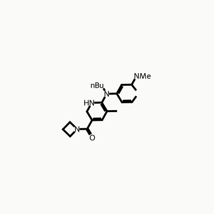 C/C=C\C(=C/C(C)NC)N(CCCC)C1=C(C)C=C(C(=O)N2CCC2)CN1